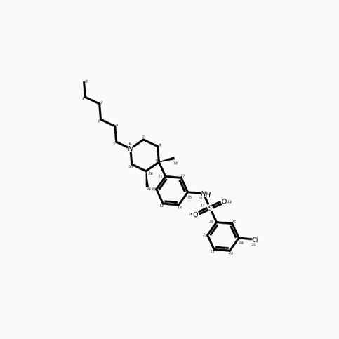 CCCCCCN1CC[C@](C)(c2cccc(NS(=O)(=O)c3cccc(Cl)c3)c2)[C@@H](C)C1